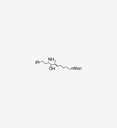 CCCCCCCCCCCCC/C=C/[C@@H](O)[C@@H](N)CCC(C)C